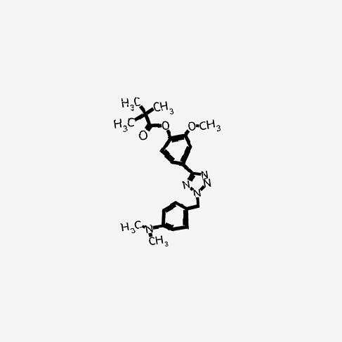 COc1cc(-c2nnn(Cc3ccc(N(C)C)cc3)n2)ccc1OC(=O)C(C)(C)C